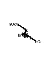 CCCCCCCCC=CCCCCCCCC(=O)OCC(OCCBr)C(OC(=O)CCCCCCCC=CCCCCCCCC)C(N)=O